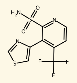 NS(=O)(=O)c1nccc(C(F)(F)F)c1-c1cscn1